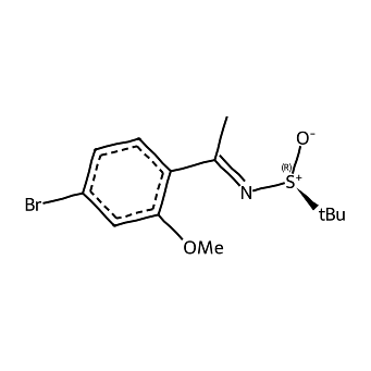 COc1cc(Br)ccc1C(C)=N[S@@+]([O-])C(C)(C)C